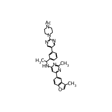 CC(=O)N1CCN(c2ncc(-c3cccc(C(C)Nc4cc(-c5ccc6occ(C)c6c5)nc(C)n4)c3)cn2)CC1